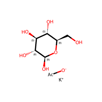 CC(=O)[O-].OC[C@H]1O[C@@H](O)[C@H](O)[C@@H](O)[C@@H]1O.[K+]